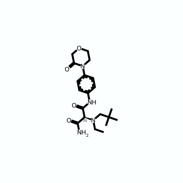 CCN(CC(C)(C)C)[C@@H](C(N)=O)C(=O)Nc1ccc(N2CCOCC2=O)cc1